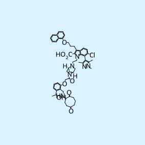 Cc1nn(C)c(C)c1-c1c(Cl)ccc2c(CCCOc3cccc4ccccc34)c(C(=O)O)n(CCN3C[C@@H]4C[C@H]3CN4C(=O)COc3cccc(C(C)O)c3CNC3CCC(=O)CCCC3=O)c12